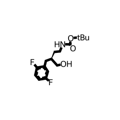 CC(C)(C)OC(=O)NCC[C@@H](CO)Cc1cc(F)ccc1F